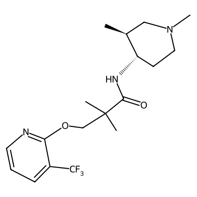 C[C@H]1CN(C)CC[C@@H]1NC(=O)C(C)(C)COc1ncccc1C(F)(F)F